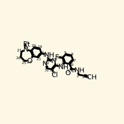 C#CCNC(=O)c1cccc(F)c1Nc1nc(Nc2ccc3c(c2)OCCCN3CC)ncc1Cl